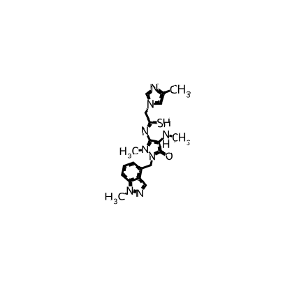 CNc1c(/N=C(\S)Cn2cnc(C)c2)n(C)n(Cc2cccc3c2cnn3C)c1=O